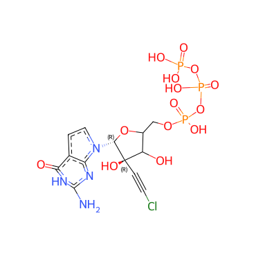 Nc1nc2c(ccn2[C@@H]2OC(COP(=O)(O)OP(=O)(O)OP(=O)(O)O)C(O)[C@]2(O)C#CCl)c(=O)[nH]1